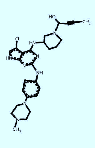 CC#CC(O)N1CCCC(Nc2nc(Nc3ccc(N4CCN(C)CC4)cc3)nc3[nH]cc(Cl)c23)C1